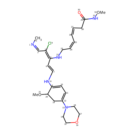 C\N=C/C(Cl)=C(\C=C\NC1=CC=C(N2CCOCC2)CC1OC)NC/C=C\C=C/CC(=O)NOC